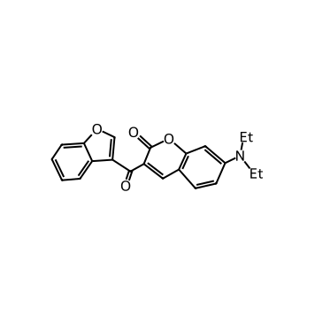 CCN(CC)c1ccc2cc(C(=O)c3coc4ccccc34)c(=O)oc2c1